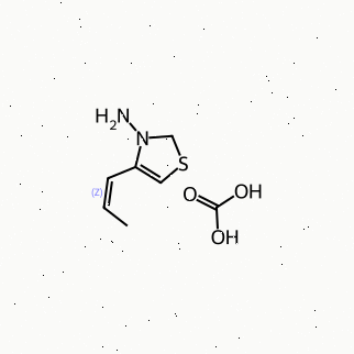 C/C=C\C1=CSCN1N.O=C(O)O